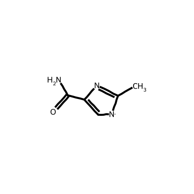 CC1=NC(C(N)=O)=C[N]1